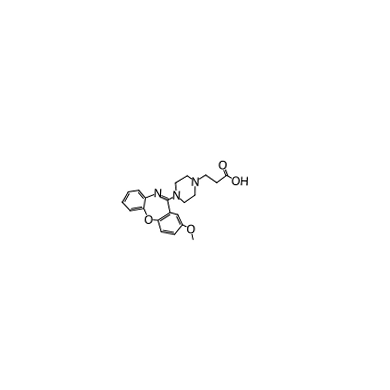 COc1ccc2c(c1)C(N1CCN(CCC(=O)O)CC1)=Nc1ccccc1O2